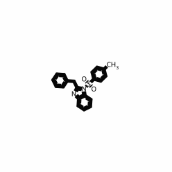 Cc1ccc(S(=O)(=O)n2c(Cc3ccccc3)nc3ccccc32)cc1